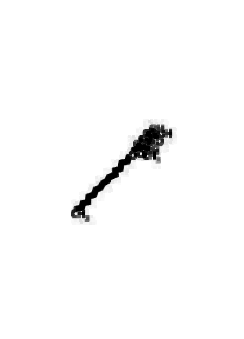 CCCCCCCCCCCCCCCCCCOCC(OC)(OC)C(O)SOP(=O)(O)C(=O)O